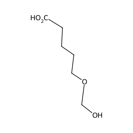 O=C(O)CCCCOCO